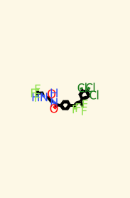 O=C(CNC(=O)c1ccc(/C(F)=C/C(c2cc(Cl)c(Cl)c(Cl)c2)C(F)(F)F)cc1)NCC(F)(F)F